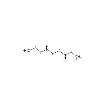 [CH2]CCNCCNCC